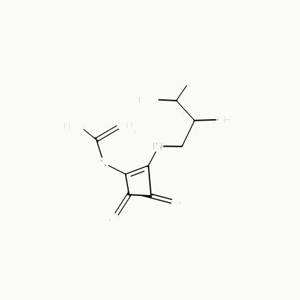 C=C(C)Nc1c(NCC(C)C(C)C)c(=O)c1=O